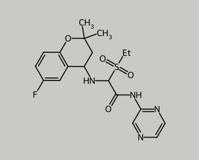 CCS(=O)(=O)C(NC1CC(C)(C)Oc2ccc(F)cc21)C(=O)Nc1cnccn1